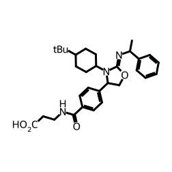 CC(N=C1OCC(c2ccc(C(=O)NCCC(=O)O)cc2)N1C1CCC(C(C)(C)C)CC1)c1ccccc1